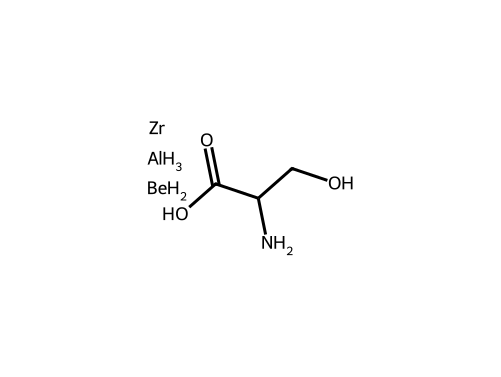 NC(CO)C(=O)O.[AlH3].[BeH2].[Zr]